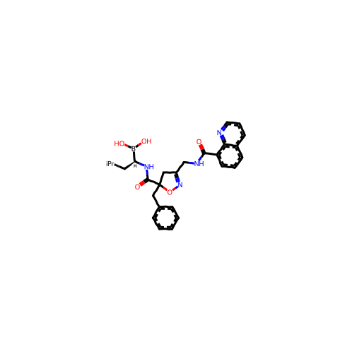 CC(C)C[C@H](NC(=O)C1(Cc2ccccc2)CC(CNC(=O)c2cccc3cccnc23)=NO1)B(O)O